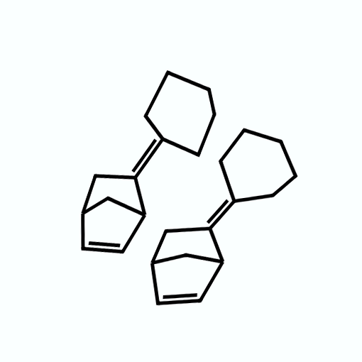 C1=CC2CC1CC2=C1CCCCC1.C1=CC2CC1CC2=C1CCCCC1